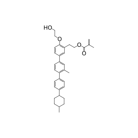 C=C(C)C(=O)OCCc1cc(-c2ccc(-c3ccc(C4CCC(C)CC4)cc3)c(C)c2)ccc1OCCO